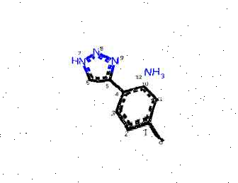 Cc1ccc(-c2c[nH]nn2)cc1.N